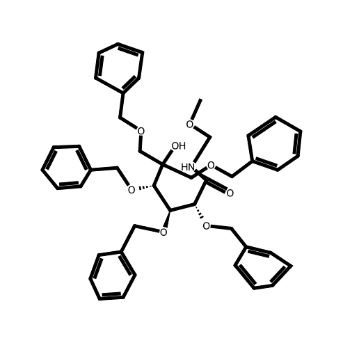 COCNC(=O)[C@H](OCc1ccccc1)[C@@H](OCc1ccccc1)[C@H](OCc1ccccc1)C(O)(COCc1ccccc1)COCc1ccccc1